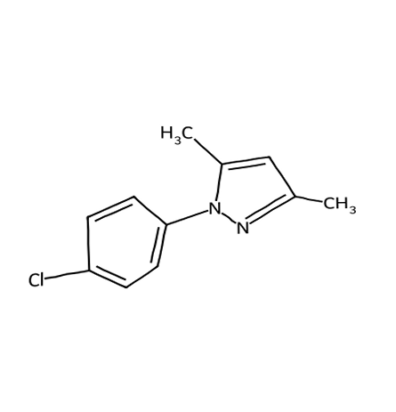 Cc1cc(C)n(-c2ccc(Cl)cc2)n1